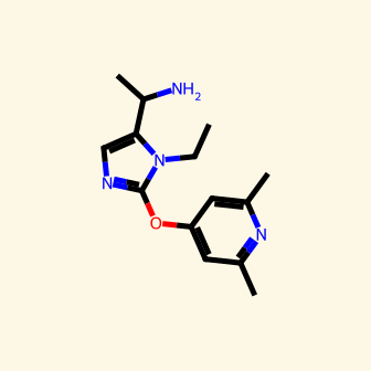 CCn1c(C(C)N)cnc1Oc1cc(C)nc(C)c1